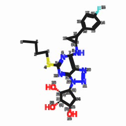 CCCCSc1nc(N[C@H]2CC2c2ccc(F)cc2)c2nnn([C@H]3C[C@@H](O)[C@H](O)[C@@H]3O)c2n1